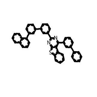 c1ccc(-c2cccc(-c3nc(-c4cccc(-c5cccc(-c6cccc7ccccc67)c5)c4)nc4sc5ccccc5c34)c2)cc1